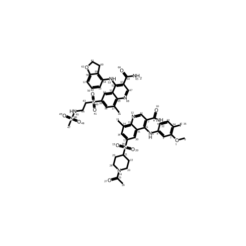 COc1cc(Nc2c(C(N)=O)cnc3c(C)cc(S(=O)(=O)C4CCN(C(C)=O)CC4)cc23)ccc1F.Cc1cc(S(=O)(=O)CCNS(C)(=O)=O)cc2c(Nc3cccc4c3CCO4)c(C(N)=O)cnc12